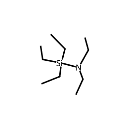 CCN(CC)[Si](CC)(CC)CC